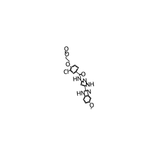 COc1ccc2[nH]c(-c3cc(NC(=O)c4ccc(OCCOC=O)c(Cl)c4)n[nH]3)nc2c1